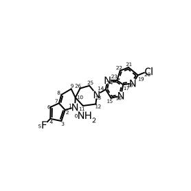 NN1C2=CC(F)=CC2=CCC12CCN(c1cnc3nc(Cl)ccc3n1)CC2